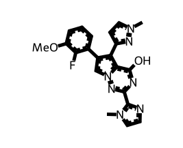 COc1cccc(-c2cn3nc(-c4nccn4C)nc(O)c3c2-c2ccn(C)n2)c1F